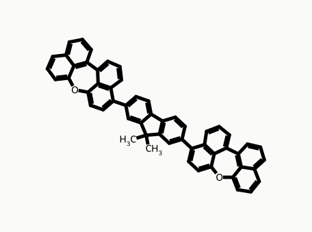 CC1(C)c2cc(-c3ccc4oc5cccc6cccc(c7cccc3c47)c65)ccc2-c2ccc(-c3ccc4oc5cccc6cccc(c7cccc3c47)c65)cc21